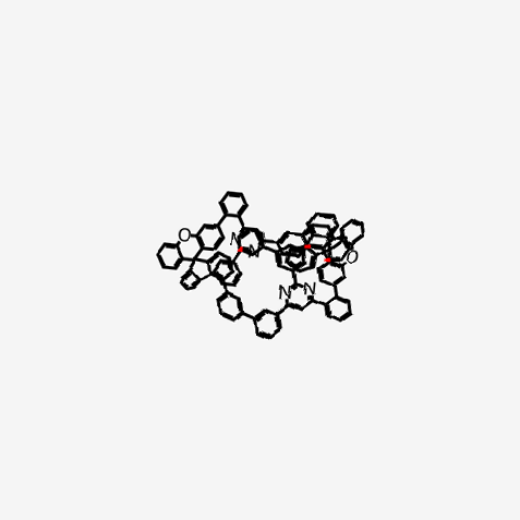 C1=CC2=c3ccc(-c4cc(-c5ccccc5-c5ccc6c(c5)Oc5ccccc5C65c6ccccc6-c6c(-c7cccc(-c8cccc(-c9cc(-c%10ccccc%10-c%10ccc%11c(c%10)Oc%10ccccc%10C%11%10c%11ccccc%11-c%11ccccc%11%10)nc(-c%10cccc(-c%11ccccc%11)c%10)n9)c8)c7)cccc65)nc(-c5ccccc5)n4)cc3=CCC2C=C1